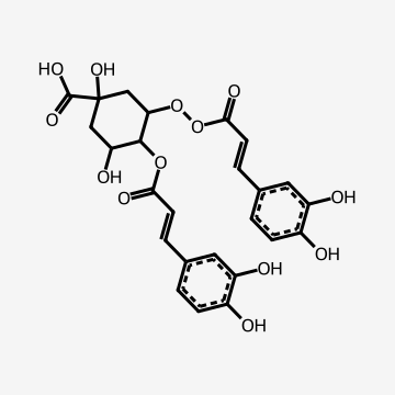 O=C(/C=C/c1ccc(O)c(O)c1)OOC1CC(O)(C(=O)O)CC(O)C1OC(=O)/C=C/c1ccc(O)c(O)c1